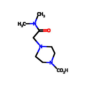 CN(C)C(=O)CN1CCN(C(=O)O)CC1